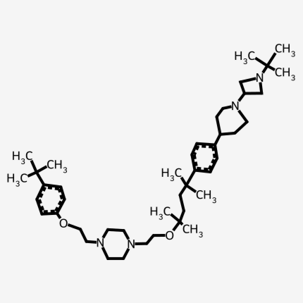 CC(C)(CCC(C)(C)c1ccc(C2CCN(C3CN(C(C)(C)C)C3)CC2)cc1)OCCN1CCN(CCOc2ccc(C(C)(C)C)cc2)CC1